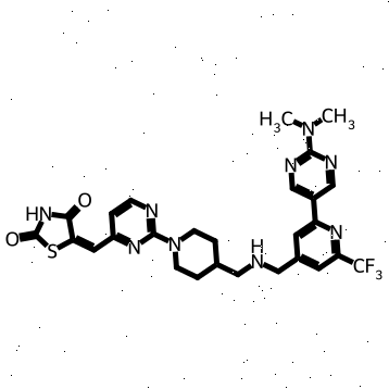 CN(C)c1ncc(-c2cc(CNCC3CCN(c4nccc(C=C5SC(=O)NC5=O)n4)CC3)cc(C(F)(F)F)n2)cn1